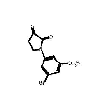 O=C1CCN(c2cc(Br)cc(C(=O)O)c2)C1=O